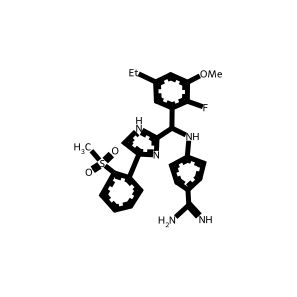 CCc1cc(OC)c(F)c(C(Nc2ccc(C(=N)N)cc2)c2nc(-c3ccccc3S(C)(=O)=O)c[nH]2)c1